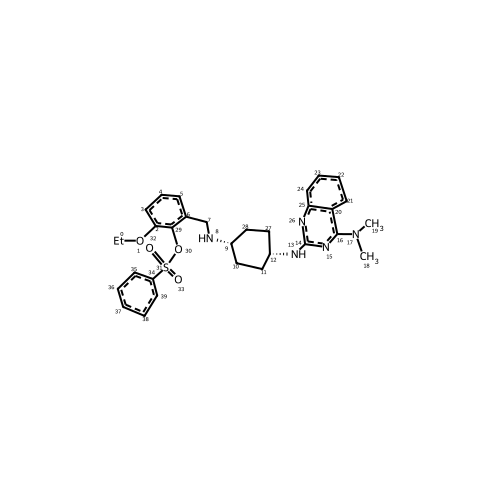 CCOc1cccc(CN[C@H]2CC[C@@H](Nc3nc(N(C)C)c4ccccc4n3)CC2)c1OS(=O)(=O)c1ccccc1